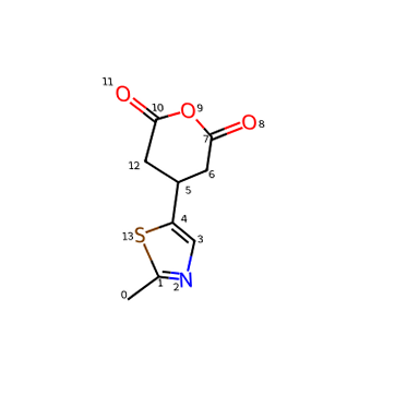 Cc1ncc(C2CC(=O)OC(=O)C2)s1